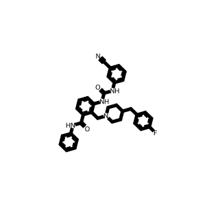 N#Cc1cccc(NC(=O)Nc2cccc(C(=O)Nc3ccccc3)c2CN2CCC(Cc3ccc(F)cc3)CC2)c1